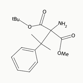 COC(=O)C(N)(C(=O)OC(C)(C)C)C(C)(C)c1ccccc1